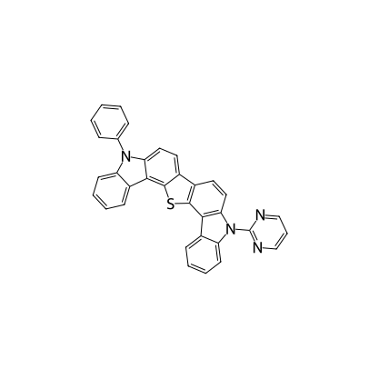 c1ccc(-n2c3ccccc3c3c4sc5c(ccc6c5c5ccccc5n6-c5ncccn5)c4ccc32)cc1